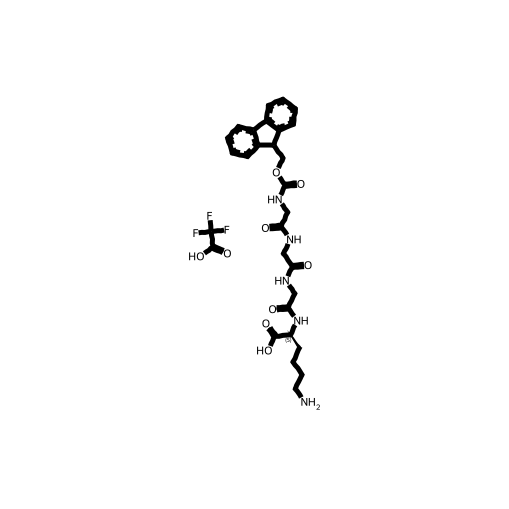 NCCCC[C@H](NC(=O)CNC(=O)CNC(=O)CNC(=O)OCC1c2ccccc2-c2ccccc21)C(=O)O.O=C(O)C(F)(F)F